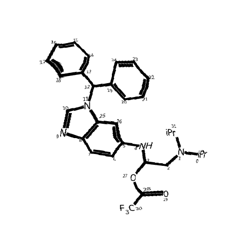 CC(C)N(CC(Nc1ccc2ncn(C(c3ccccc3)c3ccccc3)c2c1)OC(=O)C(F)(F)F)C(C)C